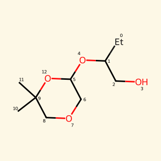 CCC(CO)OC1COCC(C)(C)O1